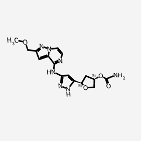 COCc1cc2c(Nc3cc([C@H]4C[C@@H](OC(N)=O)CO4)[nH]n3)nccn2n1